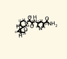 NC(=O)c1cncc(NC(=O)C(=O)N2CCCC3(C2)OC[C@@H]2C[C@@H]23)c1